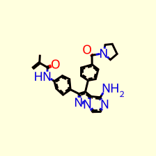 C=C(C)C(=O)Nc1ccc(-c2nn3ccnc(N)c3c2-c2ccc(C(=O)N3CCCC3)cc2)cc1